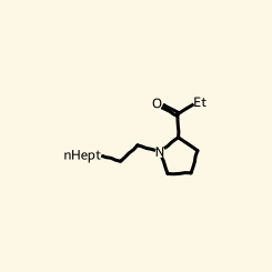 CCCCCCCCCN1CCCC1C(=O)CC